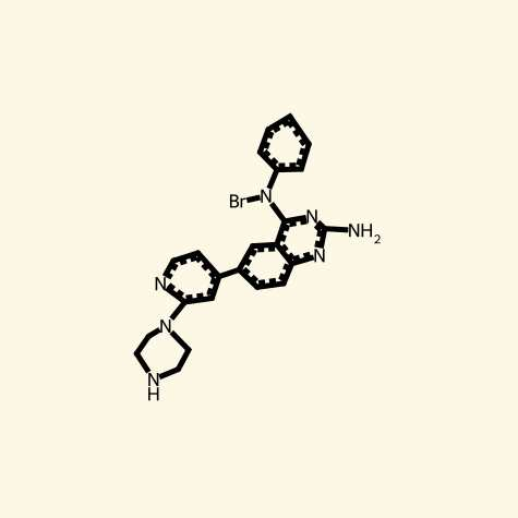 Nc1nc(N(Br)c2ccccc2)c2cc(-c3ccnc(N4CCNCC4)c3)ccc2n1